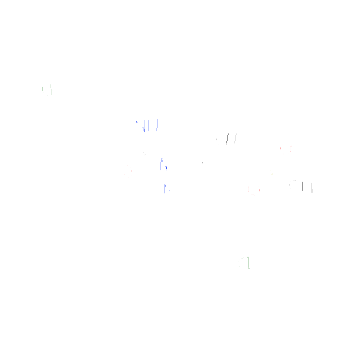 CC1(CCS(C)(=O)=O)CN(C(=O)Nc2ccc(Cl)cc2)N=C1c1ccc(Cl)cc1